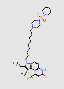 CCc1c(C)c2c3c(C(F)(F)F)cc(=O)[nH]c3ccc2n1CCCCCCCCCN1CCN(S(=O)(=O)N2CCCCC2)CC1